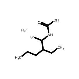 Br.CCCC(CC)C(Br)NC(=O)O